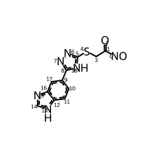 O=NC(=O)CSc1nnc(-c2ccc3[nH]cnc3c2)[nH]1